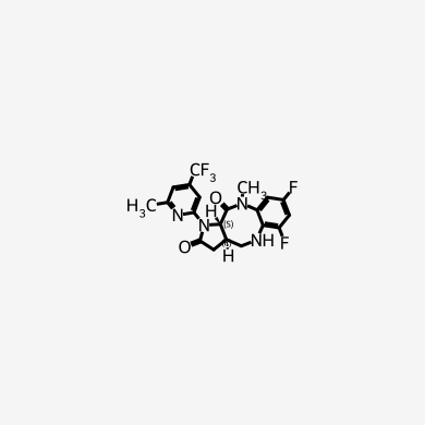 Cc1cc(C(F)(F)F)cc(N2C(=O)C[C@@H]3CNc4c(F)cc(F)cc4N(C)C(=O)[C@H]32)n1